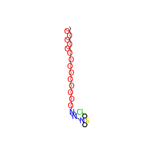 CCC(COCC(COCC(COCCOCCOCCOCCOCCOCCOCCOCCOCCN1CCN(CCCN2c3ccccc3Sc3ccc(Cl)cc32)CC1)OC)OC)OC